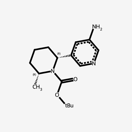 C[C@@H]1CCC[C@H](c2cncc(N)c2)N1C(=O)OC(C)(C)C